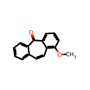 COc1cccc2c(=O)c3ccccc3ccc12